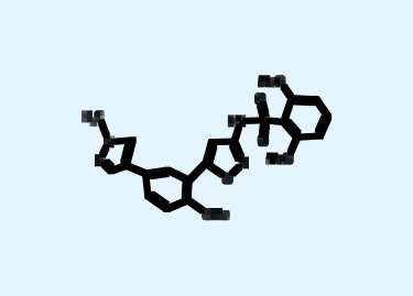 COc1ccc(-c2cnn(C)c2)cc1-c1cc(NS(=O)(=O)c2c(OC)cccc2OC)no1